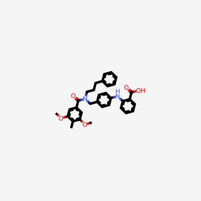 COc1cc(C(=O)N(CCCc2ccccc2)Cc2ccc(Nc3ccccc3C(=O)O)cc2)cc(OC)c1C